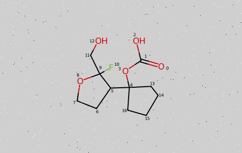 O=C(O)OC1(C2CCOC2(F)CO)CCCC1